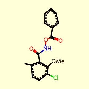 COc1c(Cl)ccc(C)c1C(=O)NOC(=O)c1ccccc1